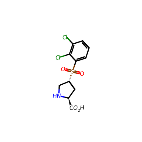 O=C(O)[C@@H]1C[C@@H](S(=O)(=O)c2cccc(Cl)c2Cl)CN1